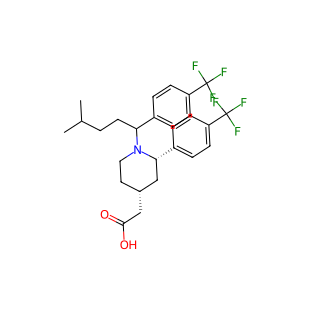 CC(C)CCC(c1ccc(C(F)(F)F)cc1)N1CC[C@@H](CC(=O)O)C[C@H]1c1ccc(C(F)(F)F)cc1